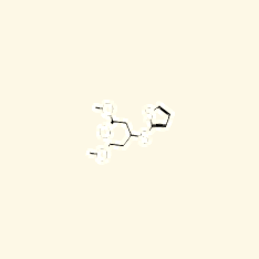 COCCC(CC(=O)OC)Sc1cccs1